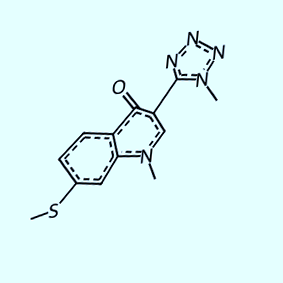 CSc1ccc2c(=O)c(-c3nnnn3C)cn(C)c2c1